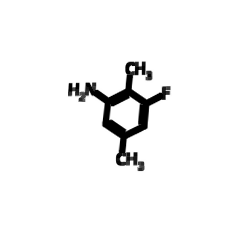 Cc1cc(N)c(C)c(F)c1